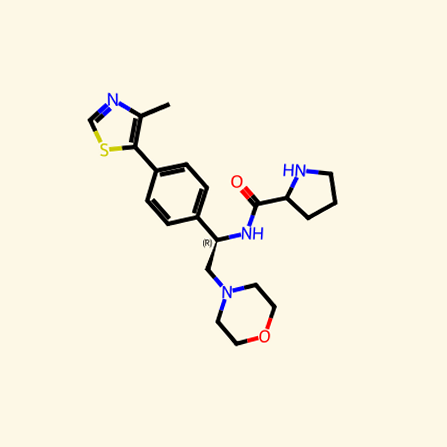 Cc1ncsc1-c1ccc([C@H](CN2CCOCC2)NC(=O)C2CCCN2)cc1